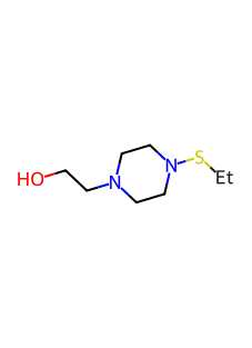 CCSN1CCN(CCO)CC1